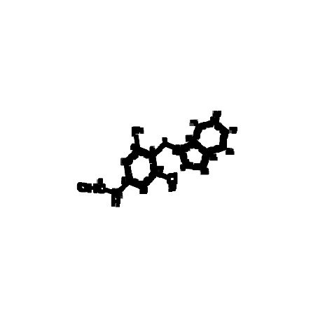 O=CNc1cc(F)c(Cn2ccc3ccncc32)c(Cl)c1